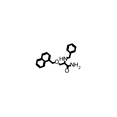 NC(=O)C(COCc1cccc2ccccc12)NCc1ccccc1